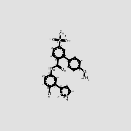 COc1ccc(-c2cc(S(C)(=O)=O)ccc2C(=O)Nc2ccc(Cl)c(-c3cc[nH]n3)c2)cc1